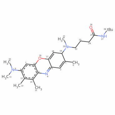 CC1=CC2=Nc3c(cc(N(C)C)c(C)c3C)OC2=CC1N(C)CCCC(=O)NC(C)(C)C